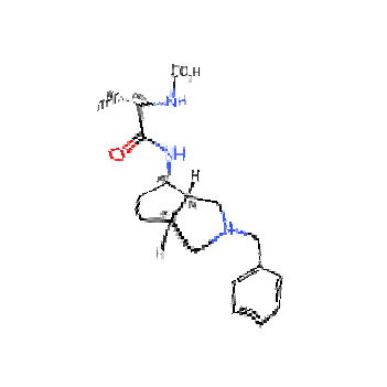 CCC[C@H](NC(=O)O)C(=O)N[C@@H]1CC[C@H]2CN(Cc3ccccc3)C[C@H]21